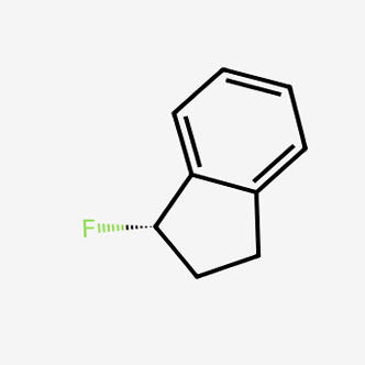 F[C@H]1CCc2ccccc21